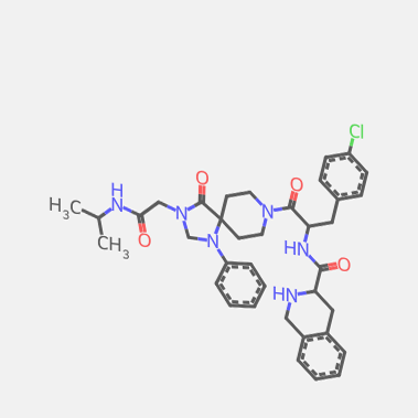 CC(C)NC(=O)CN1CN(c2ccccc2)C2(CCN(C(=O)C(Cc3ccc(Cl)cc3)NC(=O)C3Cc4ccccc4CN3)CC2)C1=O